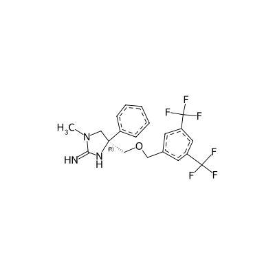 CN1C[C@@](COCc2cc(C(F)(F)F)cc(C(F)(F)F)c2)(c2ccccc2)NC1=N